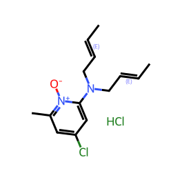 C/C=C/CN(C/C=C/C)c1cc(Cl)cc(C)[n+]1[O-].Cl